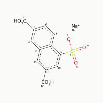 O=C(O)c1ccc2c(S(=O)(=O)[O-])cc(C(=O)O)cc2c1.[Na+]